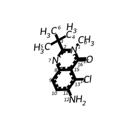 Cn1c(C(C)(C)C)nc2ccc(N)c(Cl)c2c1=O